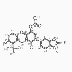 Cn1c(=O)sc2cc(-n3cc(OC(=O)O)c(=O)n(Cc4cccc(F)c4C(F)(F)F)c3=O)ccc21